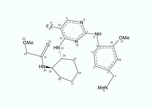 CNCc1ccc(Nc2ncc(C(F)(F)F)c(N[C@@H]3CCCC[C@H]3NC(=O)COC)n2)c(OC)c1